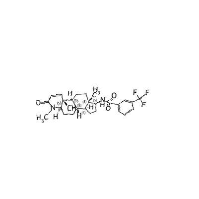 CN1C(=O)C=C[C@]2(C)[C@H]3CC[C@]4(C)[C@@H](NS(=O)(=O)c5cccc(C(F)(F)F)c5)CC[C@H]4[C@@H]3CC[C@@H]12